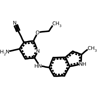 CCOc1nc(Nc2ccc3[nH]c(C)cc3c2)cc(N)c1C#N